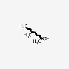 CC/C=C(\C)CC/C=C(\C)O